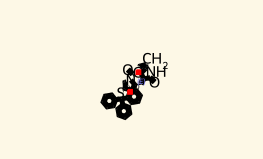 C=CCOC(=O)N1C[C@@H](SC(c2ccccc2)(c2ccccc2)c2ccccc2)C[C@H]1/C=C1\CCNC1=O